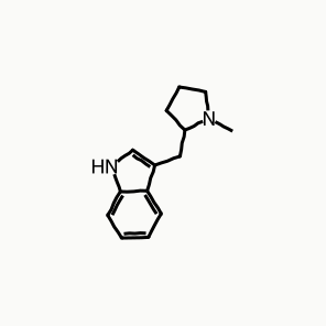 CN1CCCC1Cc1c[nH]c2ccccc12